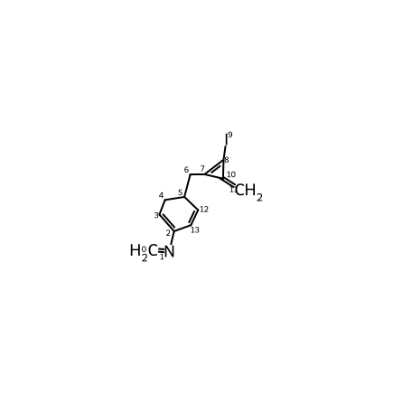 C=NC1=CCC(CC2=C(I)C2=C)C=C1